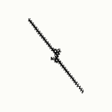 CCCCCCCCCCCCCCCCCCCCCCCCCCCCC=Cc1cccc(N=CC(CCCC)=Nc2cccc(C=CCCCCCCCCCCCCCCCCCCCCCCCCCCCC)c2)c1.[Ni]